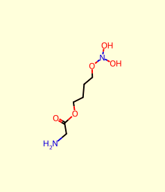 NCC(=O)OCCCCON(O)O